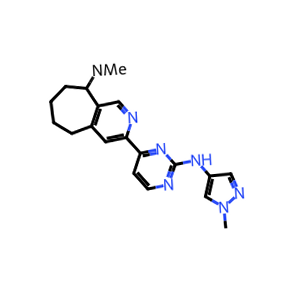 CNC1CCCCc2cc(-c3ccnc(Nc4cnn(C)c4)n3)ncc21